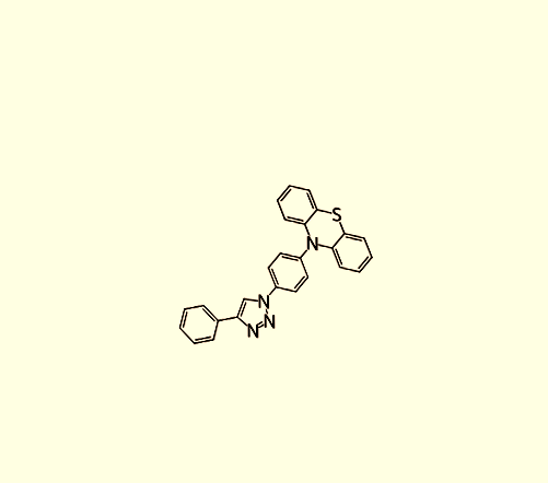 c1ccc(-c2cn(-c3ccc(N4c5ccccc5Sc5ccccc54)cc3)nn2)cc1